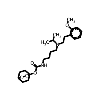 COc1ccccc1CCN(CCCCNC(=O)OC12CCC(CC1)CC2)C(C)C